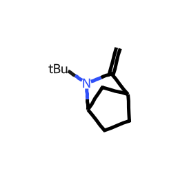 C=C1C2CCC(C2)N1C(C)(C)C